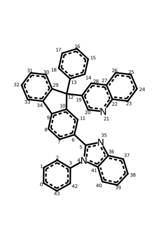 c1ccc(-n2c(-c3ccc4c(c3)C(c3ccccc3)(c3cnc5ccccc5c3)c3ccccc3-4)nc3ccccc32)cc1